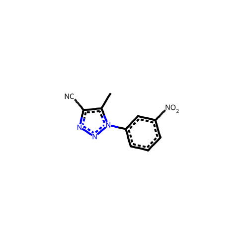 Cc1c(C#N)nnn1-c1cccc([N+](=O)[O-])c1